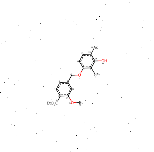 CCCc1c(OCc2ccc(C(=O)OCC)c(OCC)c2)ccc(C(C)=O)c1O